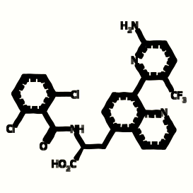 Nc1ccc(C(F)(F)F)c(-c2ccc(C[C@H](NC(=O)c3c(Cl)cccc3Cl)C(=O)O)c3cccnc23)n1